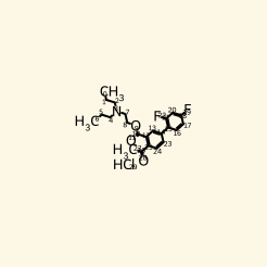 CCCN(CCC)CCOC(=O)c1cc(-c2ccc(F)cc2F)ccc1C(C)=O.Cl